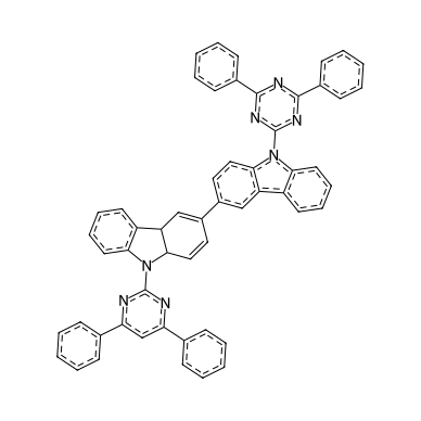 C1=CC2C(C=C1c1ccc3c(c1)c1ccccc1n3-c1nc(-c3ccccc3)nc(-c3ccccc3)n1)c1ccccc1N2c1nc(-c2ccccc2)cc(-c2ccccc2)n1